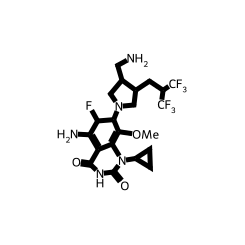 COC1=c2c(c(=O)[nH]c(=O)n2C2CC2)=C(N)C(F)C1N1CC(CN)C(CC(C(F)(F)F)C(F)(F)F)C1